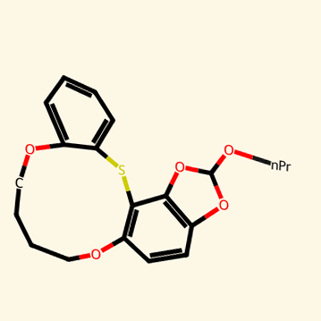 CCCOC1Oc2ccc3c(c2O1)Sc1ccccc1OCCCCO3